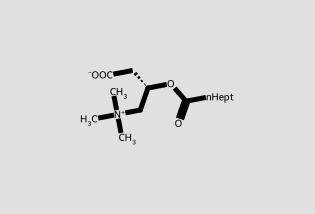 CCCCCCCC(=O)O[C@@H](CC(=O)[O-])C[N+](C)(C)C